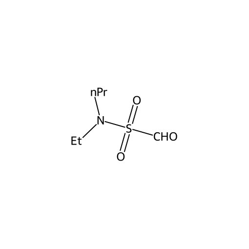 CCCN(CC)S(=O)(=O)C=O